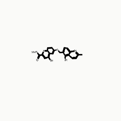 CNC(=O)c1cc(C(C)C)c2cc(OCc3ccc4nc(C)ccc4c3C(C)C)ccc2n1